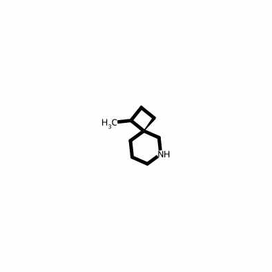 CC1CC[C@@]12CCCNC2